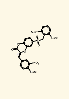 COc1ccc(/C=C2\Sc3cc(S(=O)(=O)Cc4c(OC)cccc4OC)ccc3NC2=O)cc1[N+](=O)[O-]